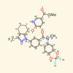 COC(=O)c1ccc(O[C@H]2CCCc3c(C(F)(F)F)nn(-c4cccc(C(=O)N(C)c5ccc6c(c5)OC(F)(F)O6)c4)c32)nc1